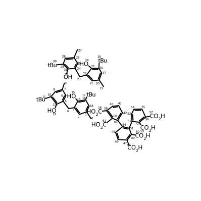 Cc1cc(Cc2cc(C)cc(C(C)(C)C)c2O)c(O)c(C(C)(C)C)c1.Cc1cc(Cc2cc(C)cc(C(C)(C)C)c2O)c(O)c(C(C)(C)C)c1.O=C(O)c1cccc(-c2ccc(C(=O)O)c(C(=O)O)c2-c2cccc(C(=O)O)c2C(=O)O)c1C(=O)O